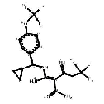 N=C(CC(F)(F)F)/C(C(N)=O)=C(/N)NC(c1ccc(OC(F)(F)F)cc1)C1CC1